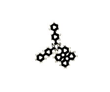 c1ccc(-c2ccc(-c3nc(-c4ccc(-c5ccccc5)cc4)nc(-c4cccc5c4-c4ccccc4C54c5ccccc5-c5ccccc54)n3)cc2)cc1